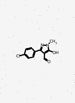 Cn1nc(-c2ccc(Cl)cc2)c(C=O)c1O